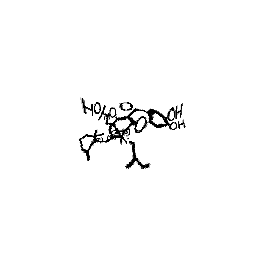 C=C1CCCC(C)(C)[C@H]1C[C@H]1C[C@@]23C[C@@H](C(C)(C)O)OC2=C(C(=O)c2ccc(O)c(O)c2)C(=O)[C@](CC=C(C)C)(C3=O)C1(C)C